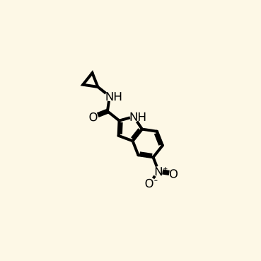 O=C(NC1CC1)c1cc2cc([N+](=O)[O-])ccc2[nH]1